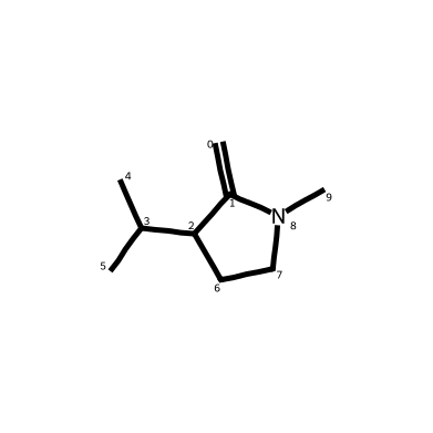 C=C1C(C(C)C)CCN1C